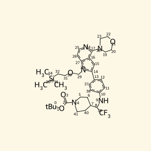 CC(C)(C)OC(=O)N1CCC(C(Nc2ccc(-c3cc4c(N5CCOCC5)nccc4n3COCC[Si](C)(C)C)cc2)C(F)(F)F)CC1